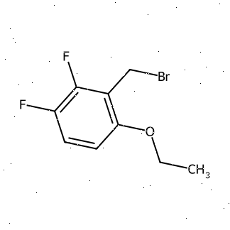 CCOc1ccc(F)c(F)c1CBr